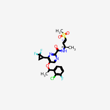 CC(Oc1cnc(C(=O)N[C@H](C)/C=C/S(C)(=O)=O)nc1C1CC1(F)F)c1cccc(F)c1Cl